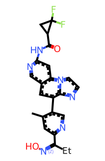 CC/C(=N/O)c1cc(C)c(-c2cc3cnc(NC(=O)C4CC4(F)F)cc3n3ccnc23)cn1